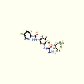 N/C(=N/c1cc(NC(=O)c2ccc(F)cn2)ccc1F)O[C@H](CF)CC(F)F